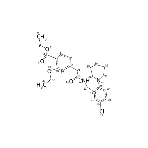 CCOC(=O)c1ccc(CC(=O)NCc2cc(Cl)ccc2N2CCCCC2)cc1OCC